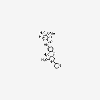 COC(C)(C)C(=O)NC(=O)Nc1ccc(Oc2cc(C)nc(-c3cccnc3)c2)c(C)n1